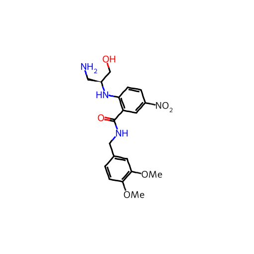 COc1ccc(CNC(=O)c2cc([N+](=O)[O-])ccc2N[C@@H](CN)CO)cc1OC